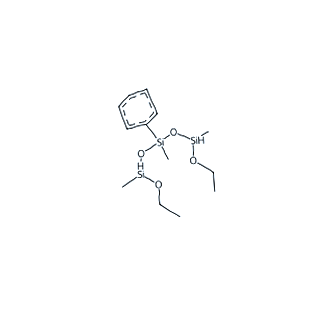 CCO[SiH](C)O[Si](C)(O[SiH](C)OCC)c1ccccc1